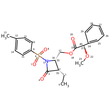 CC[C@@H]1C(=O)N(S(=O)(=O)c2ccc(C)cc2)[C@@H]1COC(=O)[C@H](OC)c1ccccc1